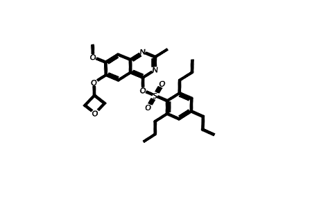 CCCc1cc(CCC)c(S(=O)(=O)Oc2nc(C)nc3cc(OC)c(OC4COC4)cc23)c(CCC)c1